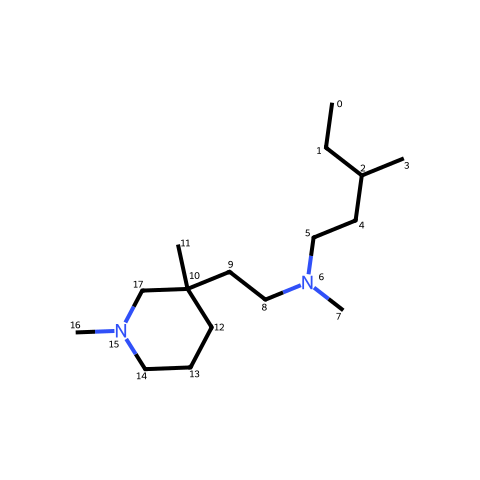 CCC(C)CCN(C)CCC1(C)CCCN(C)C1